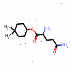 CC1(C)CCC(OC(=O)[C@@H](N)CCC(N)=O)CC1